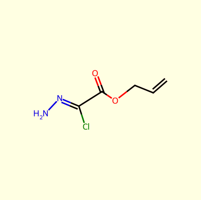 C=CCOC(=O)C(Cl)=NN